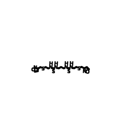 S=C(NCCCNC(=S)NCCSCc1ccon1)NCCSCc1ccon1